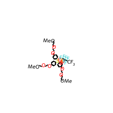 COCCOCCOc1ccc(S(OS(=O)(=O)C(F)(F)C(F)(F)C(F)(F)C(F)(F)F)(c2ccc(OCCOCCOC)cc2)c2ccc(OCCOCCOC)cc2)cc1